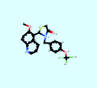 COc1ccc2ncccc2c1C1SCC(=O)N1Cc1ccc(OC(F)(F)F)cc1